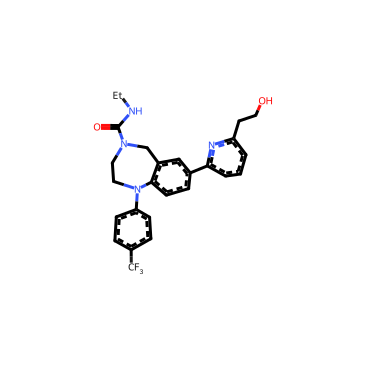 CCNC(=O)N1CCN(c2ccc(C(F)(F)F)cc2)c2ccc(-c3cccc(CCO)n3)cc2C1